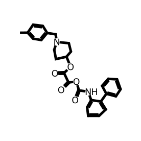 Cc1ccc(CN2CCC(OC(=O)C(=O)OC(=O)Nc3ccccc3-c3ccccc3)CC2)cc1